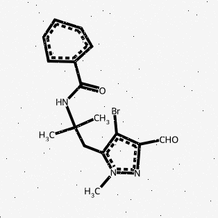 Cn1nc(C=O)c(Br)c1CC(C)(C)NC(=O)c1ccccc1